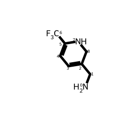 NCC1=CC=C(C(F)(F)F)NC1